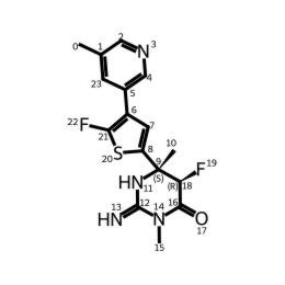 Cc1cncc(-c2cc([C@@]3(C)NC(=N)N(C)C(=O)[C@@H]3F)sc2F)c1